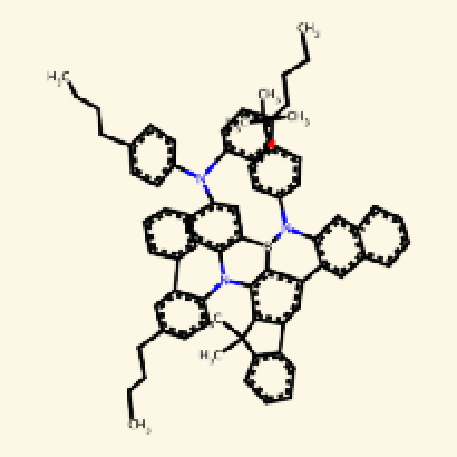 CCCCc1ccc(N(c2ccc(CCCC)cc2)c2ccc3c(c2)B2c4c(cc5c(c4N3c3ccc(CCCC)cc3-c3ccccc3)C(C)(C)c3ccccc3-5)-c3cc4ccccc4cc3N2c2ccc(C(C)(C)C)cc2)cc1